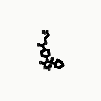 CCCOC(=O)c1ccc(N(C(N)=O)S(=O)(=O)c2ccccc2)cc1